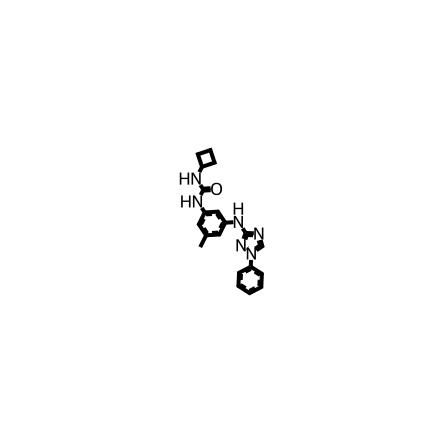 Cc1cc(NC(=O)NC2CCC2)cc(Nc2ncn(-c3ccccc3)n2)c1